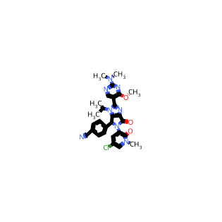 COc1nc(N(C)C)ncc1-c1nc2c(n1C(C)C)C(c1ccc(C#N)cc1)N(c1cc(Cl)cn(C)c1=O)C2=O